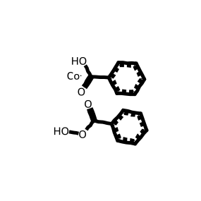 O=C(O)c1ccccc1.O=C(OO)c1ccccc1.[Co]